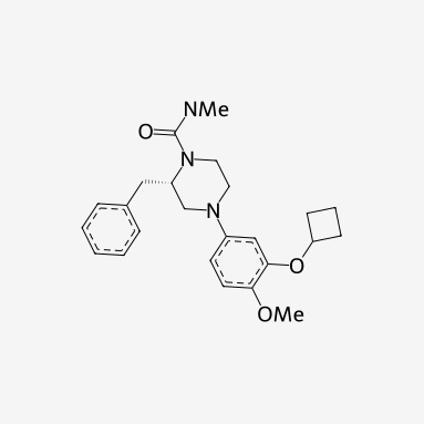 CNC(=O)N1CCN(c2ccc(OC)c(OC3CCC3)c2)C[C@@H]1Cc1ccccc1